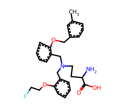 Cc1cccc(COc2ccccc2CN(CCC(N)C(=O)O)Cc2ccccc2OCCF)c1